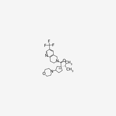 CC(C)[C@]1(C(=O)N2CCc3ncc(C(F)(F)F)cc3C2)CCC(N2CCOCC2)C1